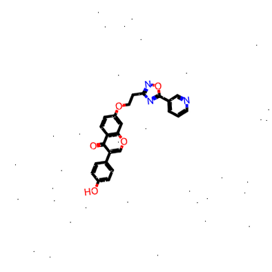 O=c1c(-c2ccc(O)cc2)coc2cc(OCCc3noc(-c4cccnc4)n3)ccc12